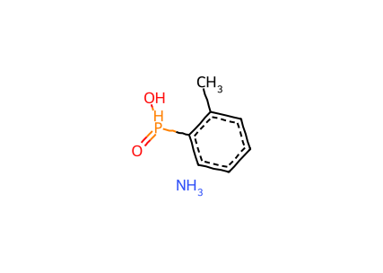 Cc1ccccc1[PH](=O)O.N